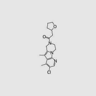 Cc1c(Cl)cnc2c1c(C)c1n2CCN(C(=O)CC2CCCO2)C1